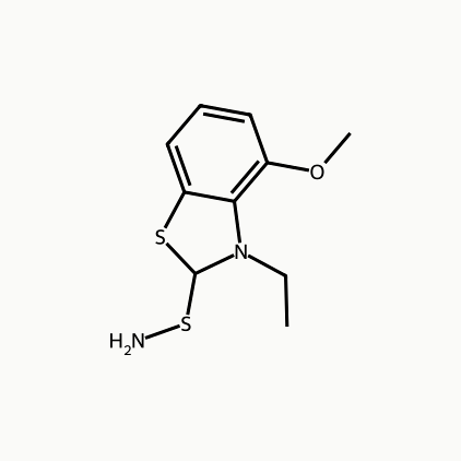 CCN1c2c(OC)cccc2SC1SN